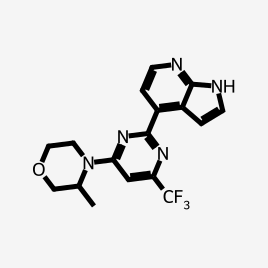 CC1COCCN1c1cc(C(F)(F)F)nc(-c2ccnc3[nH]ccc23)n1